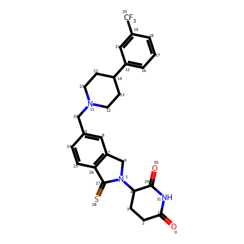 O=C1CCC(N2Cc3cc(CN4CCC(c5cccc(C(F)(F)F)c5)CC4)ccc3C2=S)C(=O)N1